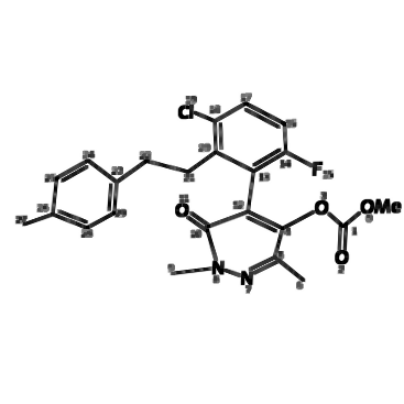 COC(=O)Oc1c(C)nn(C)c(=O)c1-c1c(F)ccc(Cl)c1CCc1ccc(C)cc1